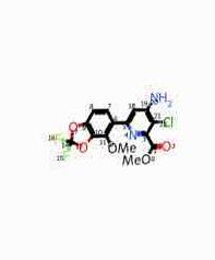 COC(=O)c1nc(-c2ccc3c(c2OC)OC(F)(F)O3)cc(N)c1Cl